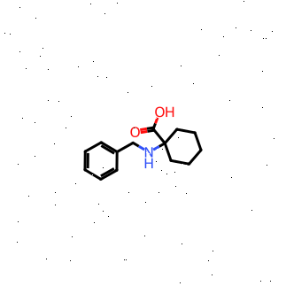 O=C(O)C1(NCc2ccccc2)CCCCC1